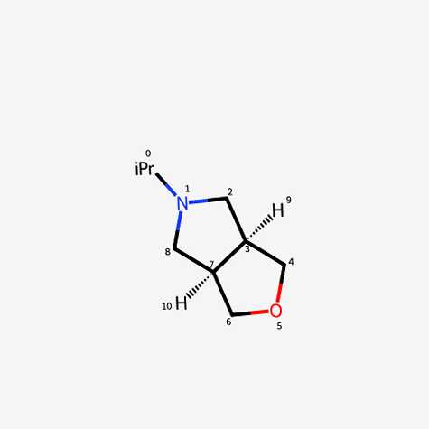 CC(C)N1C[C@H]2COC[C@H]2C1